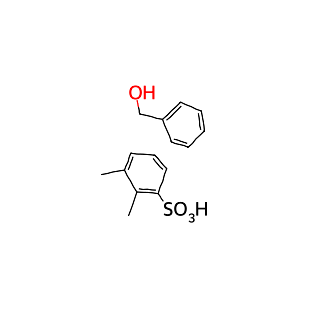 Cc1cccc(S(=O)(=O)O)c1C.OCc1ccccc1